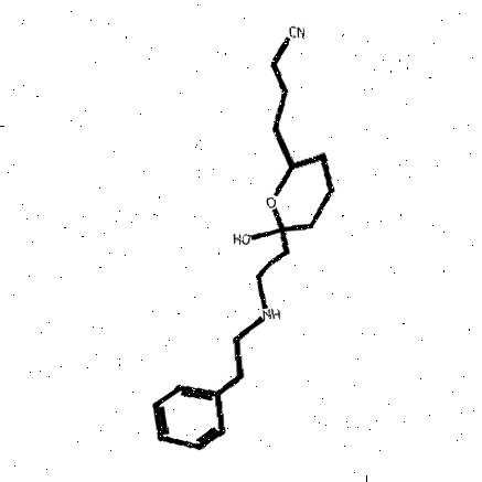 N#CCCCC1CCCC(O)(CCNCCc2ccccc2)O1